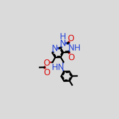 CC(=O)OCc1cnc2[nH]c(=O)[nH]c(=O)c2c1CNc1ccc(C)c(C)c1